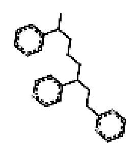 CC(CCCC(CCc1ncccn1)c1ccncc1)c1cccnc1